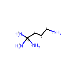 NCCCC(N)(N)N